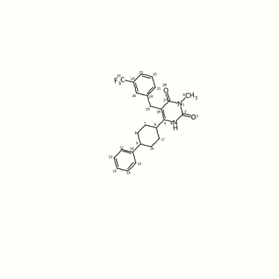 Cn1c(=O)[nH]c(C2CCC(c3ccccc3)CC2)c(Cc2cccc(C(F)(F)F)c2)c1=O